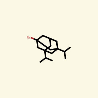 CC(C)C12CC3CC(Br)(C1)CC(C(C)C)(C3)C2